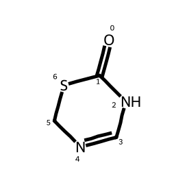 O=C1NC=NCS1